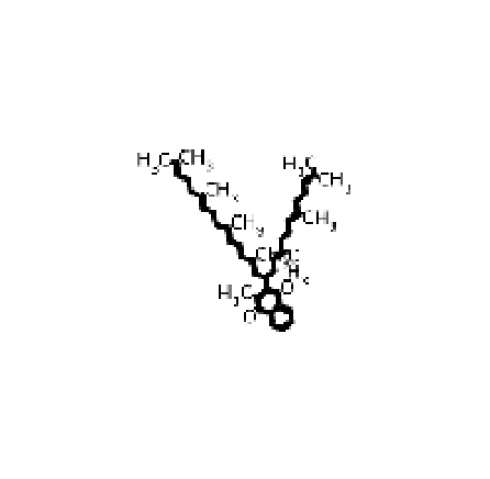 CC(C)=CCC/C(C)=C/CC/C(C)=C/CC/C(C)=C/C(C/C=C(\C)CC/C=C(\C)CCC=C(C)C)C1=C(C)C(=O)c2ccccc2C1=O